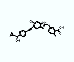 Cc1ccc(Oc2nc3cc(C#Cc4ccc(C(O)C5CC5)cc4)c(Cl)cc3[nH]2)cc1C(=O)O